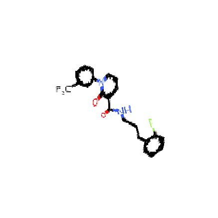 O=C(NCCCc1ccccc1F)c1cccn(-c2cccc(C(F)(F)F)c2)c1=O